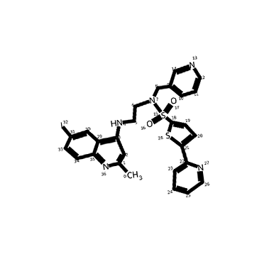 Cc1cc(NCCN(Cc2cccnc2)S(=O)(=O)c2ccc(-c3ccccn3)s2)c2cc(I)ccc2n1